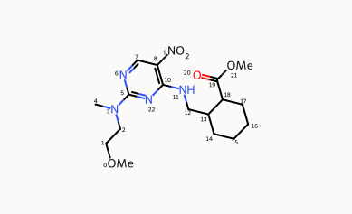 COCCN(C)c1ncc([N+](=O)[O-])c(NCC2CCCCC2C(=O)OC)n1